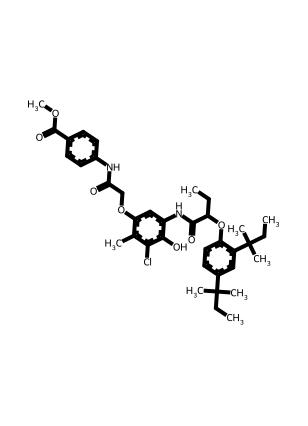 CCC(Oc1ccc(C(C)(C)CC)cc1C(C)(C)CC)C(=O)Nc1cc(OCC(=O)Nc2ccc(C(=O)OC)cc2)c(C)c(Cl)c1O